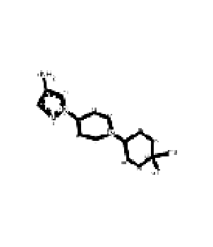 Nc1cnn(C2CCN(C3CCC(F)(F)CC3)CC2)c1